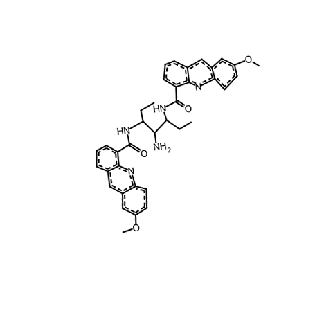 CCC(NC(=O)c1cccc2cc3cc(OC)ccc3nc12)C(N)C(CC)NC(=O)c1cccc2cc3cc(OC)ccc3nc12